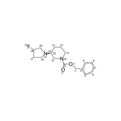 O=C(OCc1ccccc1)N1CCC[C@H](N2CCC(F)C2)C1